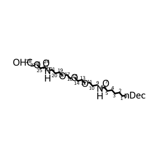 CCCCCCCCCCCCCCCC(=O)NCCCOCCOCCOCCCNC(=O)COCC=O